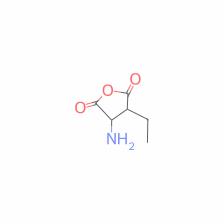 CCC1C(=O)OC(=O)C1N